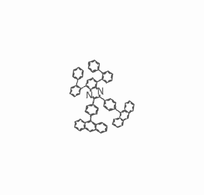 c1ccc(-c2ccccc2-c2ccc(-c3ccccc3-c3ccccc3)c3nc(-c4ccc(-c5c6ccccc6cc6ccccc56)cc4)c(-c4ccc(-c5c6ccccc6cc6ccccc56)cc4)nc23)cc1